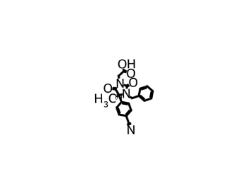 C[C@@]1(c2ccc(C#N)cc2)C(=O)N(CC(=O)O)C(=O)N1Cc1ccccc1